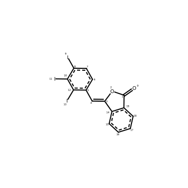 O=C1OC(=Cc2ccc(I)c(I)c2I)c2ccccc21